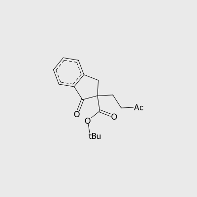 CC(=O)CCC1(C(=O)OC(C)(C)C)Cc2ccccc2C1=O